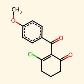 COc1ccc(C(=O)C2=C(Cl)CCCC2=O)cc1